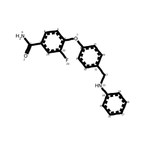 NC(=O)c1ccc(Oc2ccc(CNc3ccccc3)cc2)c(F)c1